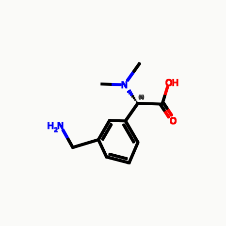 CN(C)[C@H](C(=O)O)c1cccc(CN)c1